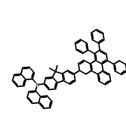 CC1(C)c2cc(C3C=Cc4c(c5ccccc5c5c(C6=CC=CCC6)cc(-c6ccccc6)c(-c6ccccc6)c45)C3)ccc2-c2ccc(N(c3cccc4ccccc34)c3cccc4ccccc34)cc21